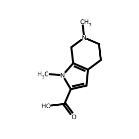 CN1CCc2cc(C(=O)O)n(C)c2C1